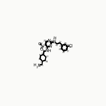 NCC1CCC(CNc2nc(NCCc3cccc(Cl)c3)ncc2[N+](=O)[O-])CC1